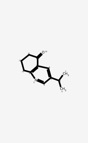 CC(C)c1cnc2c(c1)C(=O)CCC2